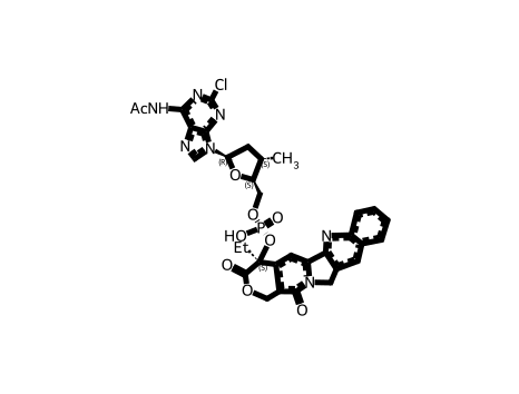 CC[C@@]1(OP(=O)(O)OC[C@H]2O[C@@H](n3cnc4c(NC(C)=O)nc(Cl)nc43)C[C@@H]2C)C(=O)OCc2c1cc1n(c2=O)Cc2cc3ccccc3nc2-1